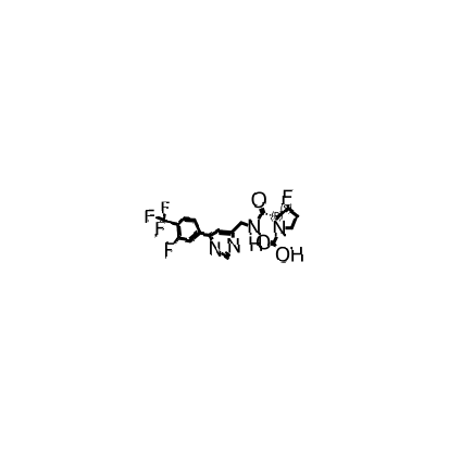 O=C(NCc1cc(-c2ccc(C(F)(F)F)c(F)c2)ncn1)[C@@H]1[C@@H](F)CCN1C(=O)O